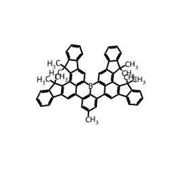 Cc1cc2c3c(c1)-c1cc4c(c5c6c(cc(c15)B3c1cc3c(c5c7c(cc-2c15)-c1ccccc1C7(C)C)C(C)(C)c1ccccc1-3)-c1ccccc1C6(C)C)C(C)(C)c1ccccc1-4